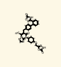 CCCc1c(Cc2ccc(-c3ccccc3-c3noc(=O)[nH]3)cc2)c(=O)n(C2CCC(OCc3n[nH]c(=O)o3)CC2)c2ncnn12